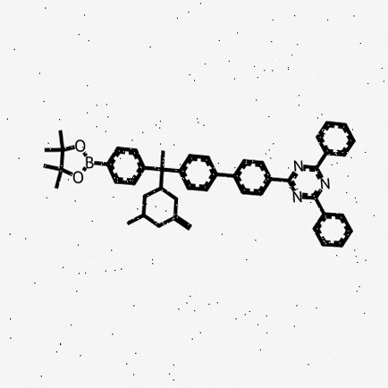 C=C1CC(C)CC(C(C)(c2ccc(B3OC(C)(C)C(C)(C)O3)cc2)c2ccc(-c3ccc(-c4nc(-c5ccccc5)nc(-c5ccccc5)n4)cc3)cc2)C1